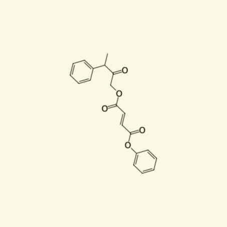 CC(C(=O)COC(=O)/C=C/C(=O)Oc1ccccc1)c1ccccc1